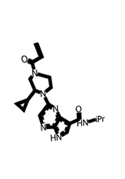 C=CC(=O)N1CCN(c2cnc3[nH]cc(C(=O)NC(C)C)c3n2)C(C2CC2)C1